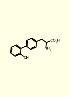 N#Cc1ccccc1-c1ccc(CC(N)C(=O)O)cc1